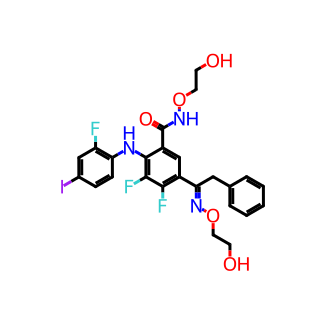 O=C(NOCCO)c1cc(/C(Cc2ccccc2)=N/OCCO)c(F)c(F)c1Nc1ccc(I)cc1F